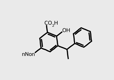 CCCCCCCCCc1cc(C(=O)O)c(O)c(C(C)c2ccccc2)c1